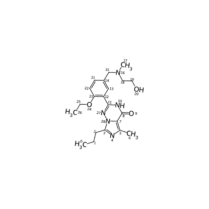 CCCc1nc(C)c2c(=O)[nH]c(-c3cc(CN(C)CCO)ccc3OCC)nn12